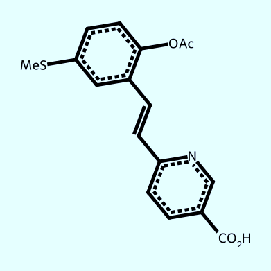 CSc1ccc(OC(C)=O)c(/C=C/c2ccc(C(=O)O)cn2)c1